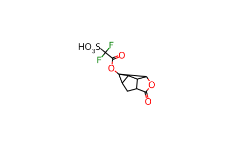 O=C1OC2C3C1CC1C3C12OC(=O)C(F)(F)S(=O)(=O)O